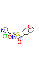 O=C(/C=c1\[nH]c(=O)/c(=C/c2ccc3c(c2)CCCO3)s1)c1cccnc1Cl